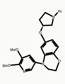 COc1cc(N2CCOc3ccc(O[C@H]4CCN(C(C)=O)C4)cc32)cnc1OC